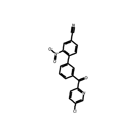 N#Cc1ccc(-c2cccc(C(=O)c3ccc(Cl)cn3)c2)c([N+](=O)[O-])c1